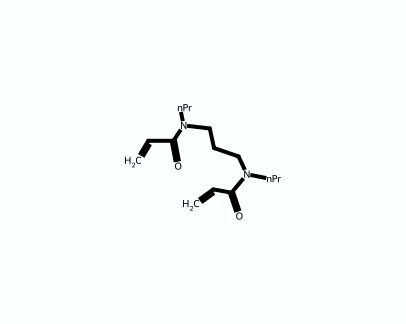 C=CC(=O)N(CCC)CCCN(CCC)C(=O)C=C